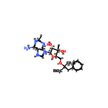 CCOC(=O)C(Cc1ccccc1)(OC[C@H]1O[C@@H](n2cnc3c(N)nc(C)nc32)[C@H](O)[C@]1(C)O)C(=O)OCC